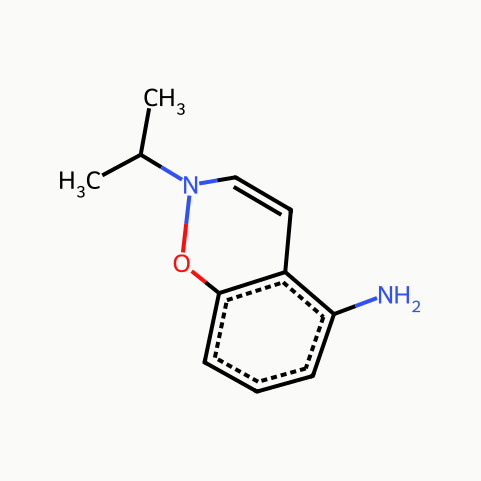 CC(C)N1C=Cc2c(N)cccc2O1